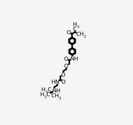 CC(C)C(=O)c1ccc(-c2ccc(NC(=O)COCCOCC(=O)NCCNC(C)(C)C)cc2)cc1